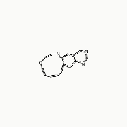 C1=CC=c2cc3ncncc3cc2=NC=COC=C1